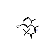 C=C(/C=C(/C)C1C=C(Cl)C=CC1C)C(C)(C)C